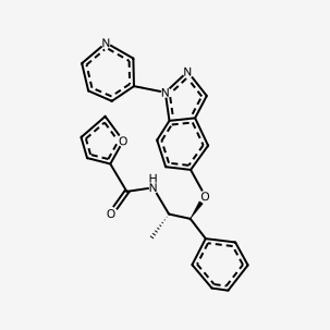 C[C@H](NC(=O)c1ccco1)[C@@H](Oc1ccc2c(cnn2-c2cccnc2)c1)c1ccccc1